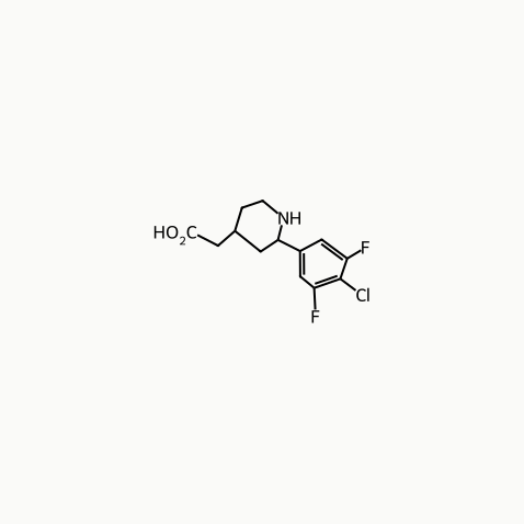 O=C(O)CC1CCNC(c2cc(F)c(Cl)c(F)c2)C1